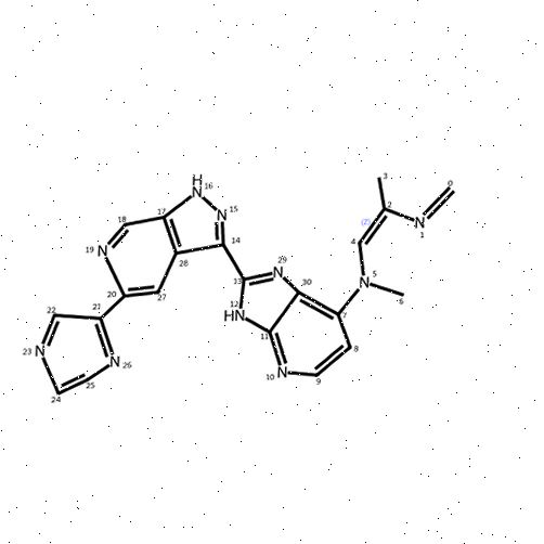 C=N/C(C)=C\N(C)c1ccnc2[nH]c(-c3n[nH]c4cnc(-c5cnccn5)cc34)nc12